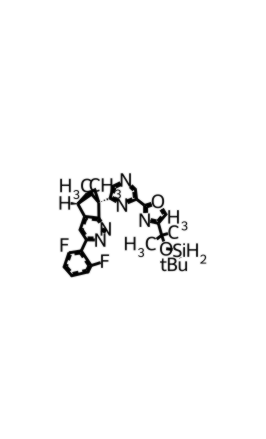 CC(C)(C)[SiH2]OC(C)(C)c1coc(-c2cncc([C@]34CC[C@@H](c5cc(-c6c(F)cccc6F)nnc53)C4(C)C)n2)n1